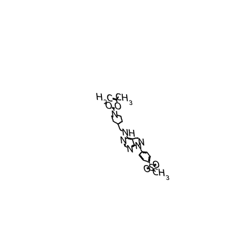 C=C(C)OC(=O)N1CCC(CNc2ncnc3c2cnn3-c2ccc(S(C)(=O)=O)cc2)CC1